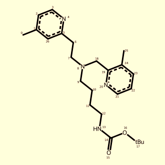 Cc1ccnc(CCN(CCCCNC(=O)OC(C)(C)C)Cc2ncccc2C)c1